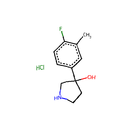 Cc1cc(C2(O)CCNC2)ccc1F.Cl